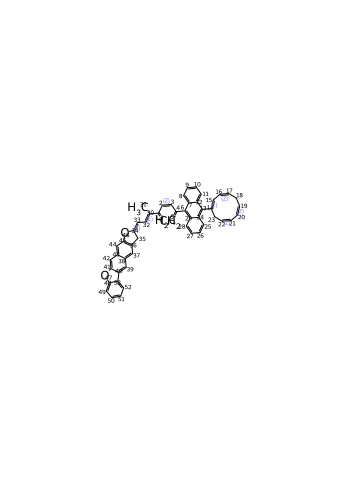 C=C(/C=C\C(=C)c1c2ccccc2c(/C2=C/C=C\C/C=C\C=C/C2)c2ccccc12)/C(C)=C/C=C1\Cc2cc3cc4c(cc3cc2O1)oc1ccccc14